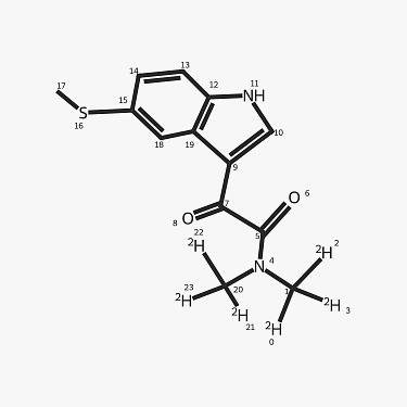 [2H]C([2H])([2H])N(C(=O)C(=O)c1c[nH]c2ccc(SC)cc12)C([2H])([2H])[2H]